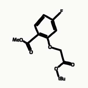 COC(=O)c1ccc(F)cc1OCC(=O)OC(C)(C)C